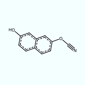 N#COc1ccc2ccc(O)cc2c1